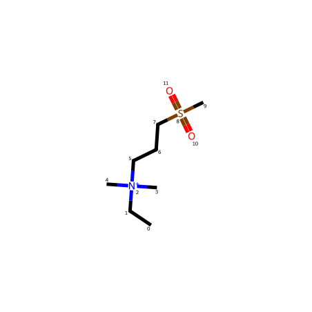 CC[N+](C)(C)CCCS(C)(=O)=O